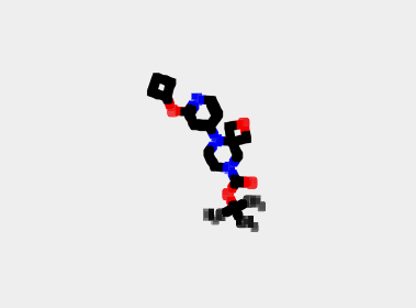 CC(C)(C)OC(=O)N1CCN(c2ccnc(OC3CCC3)c2)C2(COC2)C1